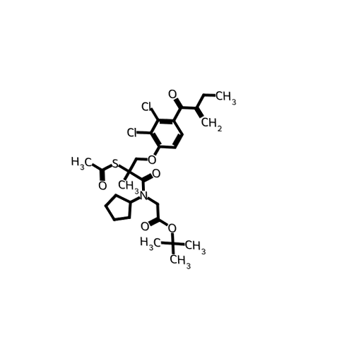 C=C(CC)C(=O)c1ccc(OCC(C)(SC(C)=O)C(=O)N(CC(=O)OC(C)(C)C)C2CCCC2)c(Cl)c1Cl